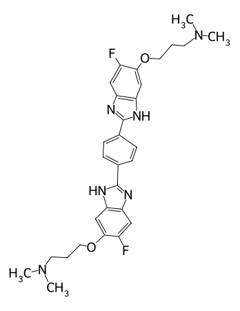 CN(C)CCCOc1cc2[nH]c(-c3ccc(-c4nc5cc(F)c(OCCCN(C)C)cc5[nH]4)cc3)nc2cc1F